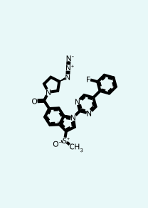 C[S+]([O-])c1cn(-c2ncc(-c3ccccc3F)cn2)c2cc(C(=O)N3CC[C@@H](N=[N+]=[N-])C3)ccc12